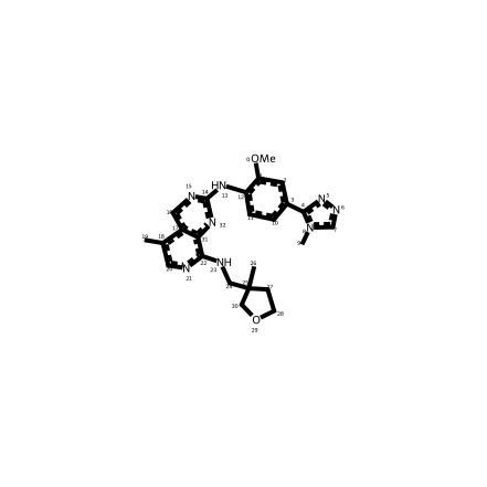 COc1cc(-c2nncn2C)ccc1Nc1ncc2c(C)cnc(NCC3(C)CCOC3)c2n1